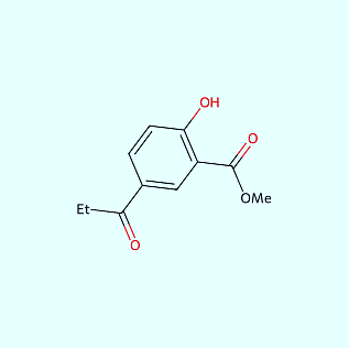 CCC(=O)c1ccc(O)c(C(=O)OC)c1